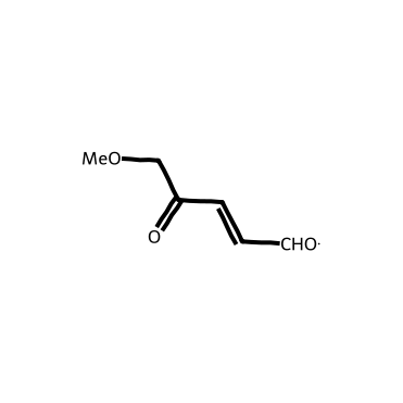 COCC(=O)C=C[C]=O